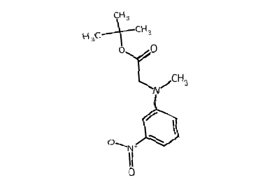 CN(CC(=O)OC(C)(C)C)c1cccc([N+](=O)[O-])c1